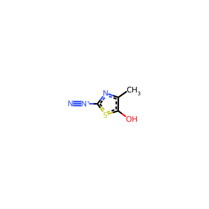 Cc1nc([N+]#N)sc1O